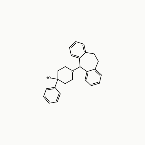 OC1(c2ccccc2)CCN(C2c3ccccc3CCc3ccccc32)CC1